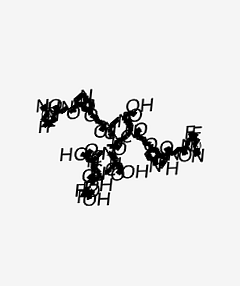 N#C[C@@H]1CC(F)(F)CN1C(=O)CNC(=O)c1ccnc2ccc(OCCCC(=O)N3CCN(CC(=O)O)CCN(C(=O)CCCOc4ccc5nccc(C(=O)NCC(=O)N6CC(F)(F)C[C@H]6C#N)c5c4)CCN(C(=O)CN4CCN(CC(=O)O)CCN(CC(=O)O)CCN(CC(=O)O)CC4)CC3)cc12.O=C(O)C(F)(F)F